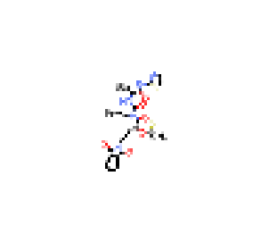 CC(=S)O[C@@H](CCCN1C(=O)c2ccccc2C1=O)C(=O)N(CCC(C)C)C(=O)N[C@H](C(=O)Nc1nccs1)C(C)(C)C